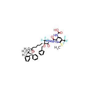 CSc1nc(C(=O)NNC(=O)[C@@](CCCCC[C@@H](C)O[Si](c2ccccc2)(c2ccccc2)C(C)(C)C)(OCc2ccccc2)C(F)(F)F)c(NC(=O)O)cc1C(F)(F)F